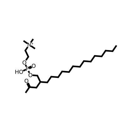 CCCCCCCCCCCCCCC(COP(=O)(O)OCC[N+](C)(C)C)CC(C)=O